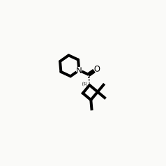 CC1C[C@H](C(=O)N2CCCCC2)C1(C)C